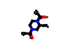 CC1CN(C(=O)C(F)(F)F)CCN1C(=O)C(F)(F)F